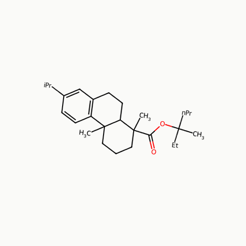 CCCC(C)(CC)OC(=O)C1(C)CCCC2(C)c3ccc(C(C)C)cc3CCC12